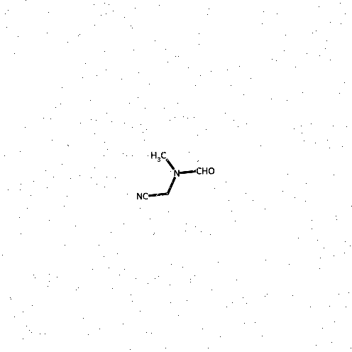 CN(C=O)CC#N